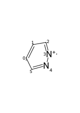 [C]1=CC=[N+]N=C1